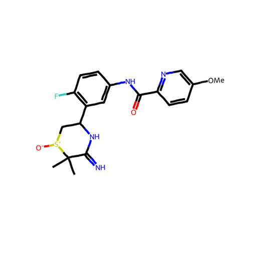 COc1ccc(C(=O)Nc2ccc(F)c(C3C[S+]([O-])C(C)(C)C(=N)N3)c2)nc1